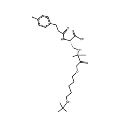 CC(C)(C)NCCOCCOCC(=O)C(C)(C)NC[C@H](NC(=O)CCc1ccc(I)cc1)C(=O)O